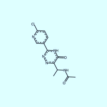 CC(=O)NC(C)c1nnc(-c2ccc(Cl)nc2)[nH]c1=O